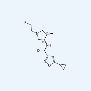 C[C@@H]1CN(CCF)C[C@@H]1NC(=O)c1cc(C2CC2)on1